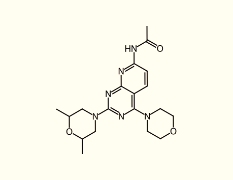 CC(=O)Nc1ccc2c(N3CCOCC3)nc(N3CC(C)OC(C)C3)nc2n1